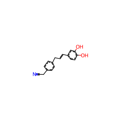 N#CCc1ccc(CC=Cc2ccc(O)c(O)c2)cc1